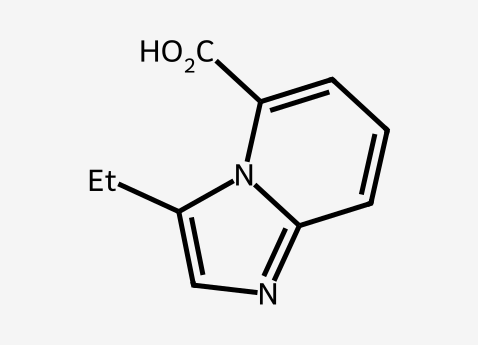 CCc1cnc2cccc(C(=O)O)n12